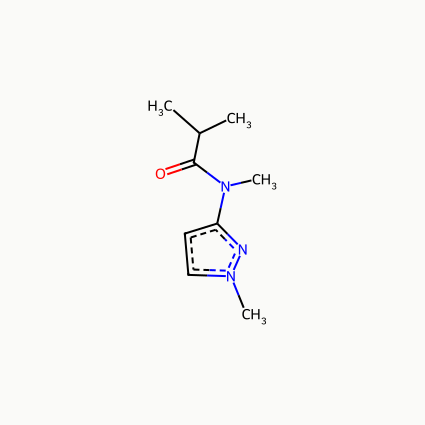 CC(C)C(=O)N(C)c1ccn(C)n1